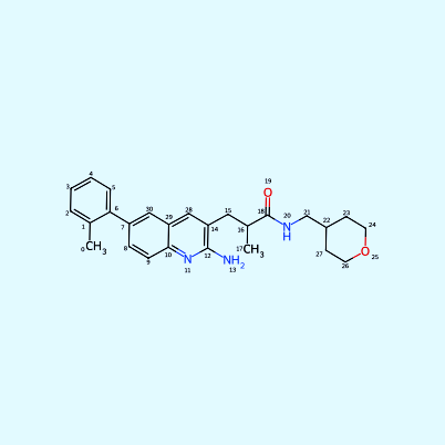 Cc1ccccc1-c1ccc2nc(N)c(CC(C)C(=O)NCC3CCOCC3)cc2c1